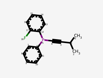 CC(C)C#CP(c1ccccc1)c1ccccc1F